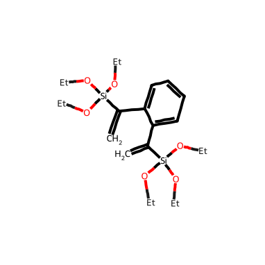 C=C(c1ccccc1C(=C)[Si](OCC)(OCC)OCC)[Si](OCC)(OCC)OCC